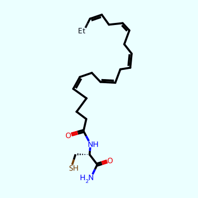 CC/C=C\C/C=C\C/C=C\C/C=C\C/C=C\CCCC(=O)N[C@@H](CS)C(N)=O